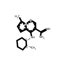 Cc1ccc2c(N[C@H]3CCCC[C@H]3C)c(C(=N)N)cnn12